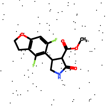 COC(=O)C1C(=O)NCC1c1c(F)cc2c(c1F)CCO2